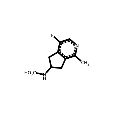 Cc1ncc(F)c2c1CC(NC(=O)O)C2